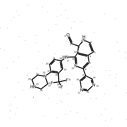 O=CC1NC=Cc2cc(-c3cncnc3)nc(Nc3ccc(N4CCNCC4)c(C(F)(F)F)c3)c21